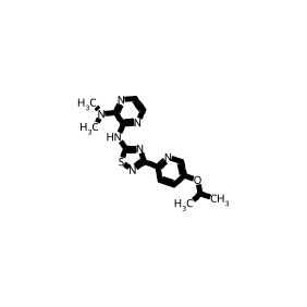 CC(C)Oc1ccc(-c2nsc(Nc3nccnc3N(C)C)n2)nc1